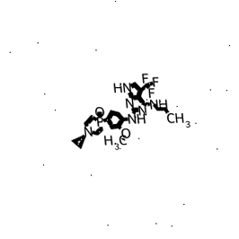 CCCNc1nc(Nc2ccc(P3(=O)C=CN(C4CC4)C=C3)cc2OC)nc2[nH]cc(C(F)(F)F)c12